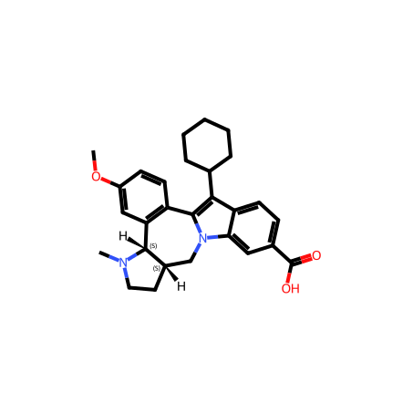 COc1ccc2c(c1)[C@@H]1[C@@H](CCN1C)Cn1c-2c(C2CCCCC2)c2ccc(C(=O)O)cc21